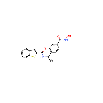 CC(C)[C@@H](NC(=O)c1cc2ccccc2s1)c1ccc(C(=O)NO)cc1